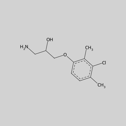 Cc1ccc(OCC(O)CN)c(C)c1Cl